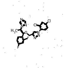 C/C(=C(/OCc1cn(-c2ccc(Cl)cc2Cl)nn1)c1ccc(F)cc1F)n1cncn1